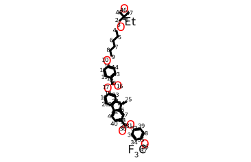 CCC1(COCCCCCCOc2ccc(C(=O)Oc3ccc4c(c3)C(C)c3cc(C(=O)Oc5ccc(OC(F)(F)F)cc5)ccc3-4)cc2)COC1